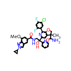 COc1cc(C(=O)NC[C@@](O)(c2ccccn2)c2cc3c(c(-c4cc(Cl)c(F)cc4F)n2)OC[C@]3(C)C(N)=O)cc2cn(C3CC3)nc12